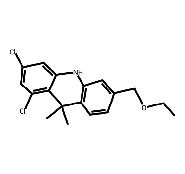 CCOCc1ccc2c(c1)Nc1cc(Cl)cc(Cl)c1C2(C)C